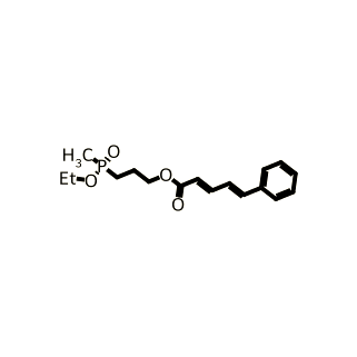 CCOP(C)(=O)CCCOC(=O)/C=C/C=C/c1ccccc1